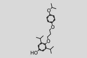 CC(C)Oc1ccc(OCCCOc2c(C(C)C)cc(O)cc2C(C)C)cc1